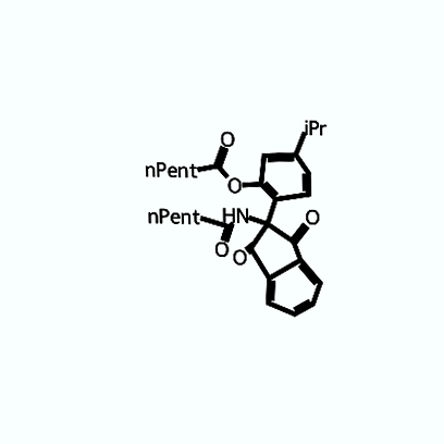 CCCCCC(=O)NC1(c2ccc(C(C)C)cc2OC(=O)CCCCC)C(=O)c2ccccc2C1=O